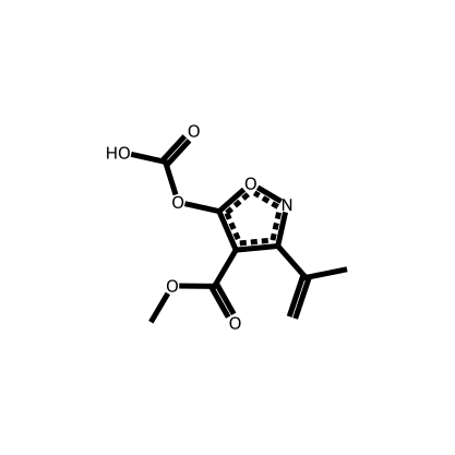 C=C(C)c1noc(OC(=O)O)c1C(=O)OC